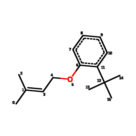 CC(C)=CCOc1ccccc1C(C)(C)C